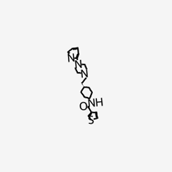 O=C(N[C@H]1CC[C@@H](CCN2CCN(c3ccccn3)CC2)CC1)c1ccsc1